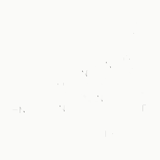 Cl.O=C(NC1CCNCC1)c1c[nH]c2c(-c3cc(F)ccc3OCC3CC3)ncnc12